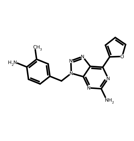 Cc1cc(Cn2nnc3c(-c4ccco4)nc(N)nc32)ccc1N